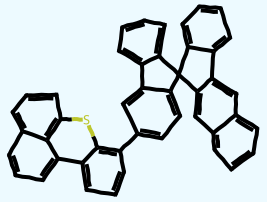 c1ccc2c(c1)-c1cc(-c3cccc4c3Sc3cccc5cccc-4c35)ccc1C21c2ccccc2-c2cc3ccccc3cc21